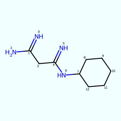 N=C(N)CC(=N)NC1CCCCC1